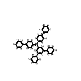 c1ccc(-c2ccc(N(c3ccc(-c4ccccc4)cc3)c3cc(-c4ccccc4)cc(-c4ccccc4)c3)cc2)cc1